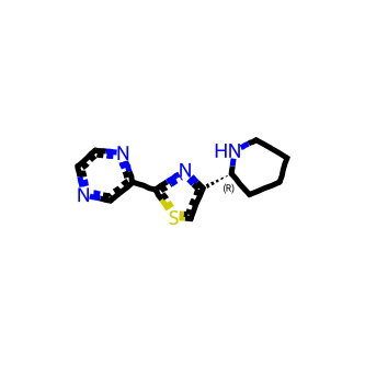 c1cnc(-c2nc([C@H]3CCCCN3)cs2)cn1